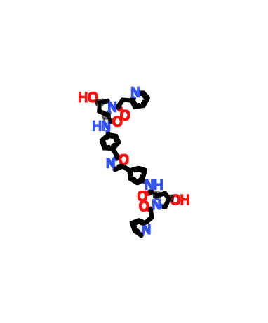 O=C(Nc1ccc(-c2cnc(-c3ccc(NC(=O)[C@@H]4C[C@@H](O)CN4C(=O)Cc4ccccn4)cc3)o2)cc1)[C@@H]1C[C@@H](O)CN1C(=O)Cc1ccccn1